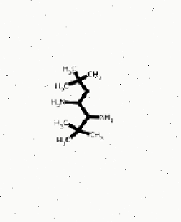 CC(C)(C)CC(N)C(N)C(C)(C)C